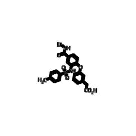 CCNC(=O)c1ccc(Oc2cccc(CC(=O)O)c2)c(NS(=O)(=O)c2ccc(C)cc2)c1